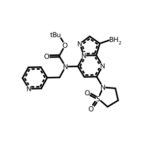 Bc1cnn2c(N(Cc3cccnc3)C(=O)OC(C)(C)C)cc(N3CCCS3(=O)=O)nc12